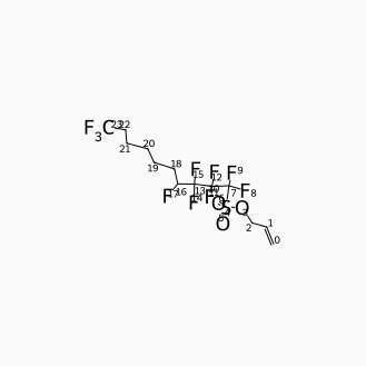 C=CCOS(=O)(=O)C(F)(F)C(F)(F)C(F)(F)C(F)CCCCCC(F)(F)F